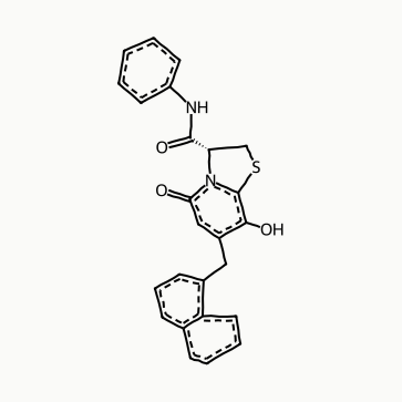 O=C(Nc1ccccc1)[C@@H]1CSc2c(O)c(Cc3cccc4ccccc34)cc(=O)n21